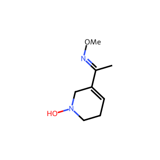 CON=C(C)C1=CCCN(O)C1